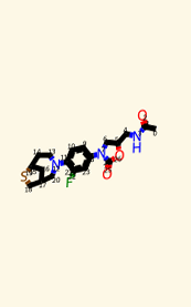 CC(=O)NCC1CN(c2ccc(N3CCC4CC(CS4)C3)c(F)c2)C(=O)O1